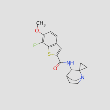 COc1ccc2cc(C(=O)NC3C4CCN(CC4)C34CC4)sc2c1F